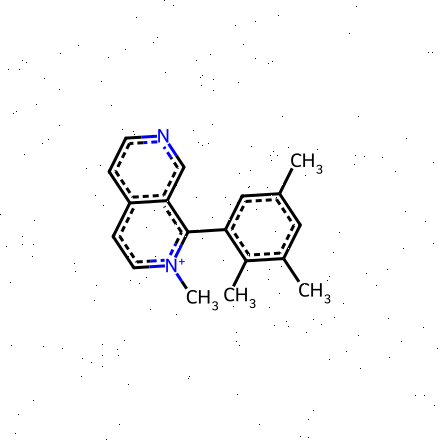 Cc1cc(C)c(C)c(-c2c3cnccc3cc[n+]2C)c1